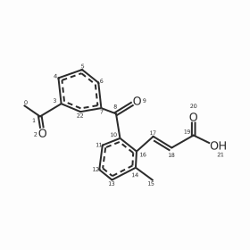 CC(=O)c1cccc(C(=O)c2cccc(C)c2/C=C/C(=O)O)c1